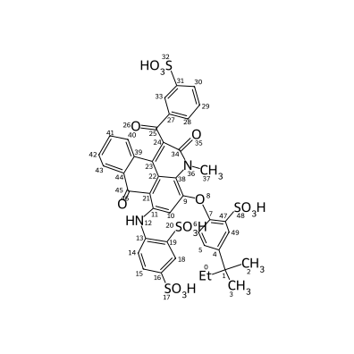 CCC(C)(C)c1ccc(Oc2cc(Nc3ccc(S(=O)(=O)O)cc3S(=O)(=O)O)c3c4c(c(C(=O)c5cccc(S(=O)(=O)O)c5)c(=O)n(C)c24)-c2ccccc2C3=O)c(S(=O)(=O)O)c1